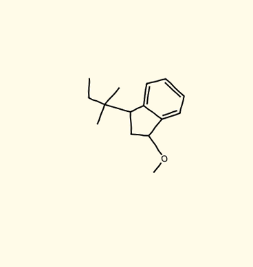 CCC(C)(C)C1CC(OC)c2ccccc21